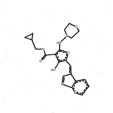 O=C(OCC1CC1)c1c(NN2CCOCC2)oc(/C=C2\C=Nc3ncccc32)c1O